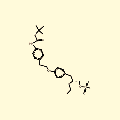 CCO[C@@H](COS(C)(=O)=O)Cc1ccc(OCCc2ccc(NC(=O)OC(C)(C)C)cc2)cc1